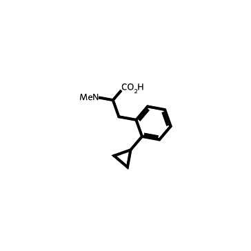 CNC(Cc1ccccc1C1CC1)C(=O)O